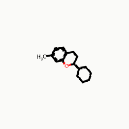 Cc1ccc2c(c1)OC(C1CCCCC1)CC2